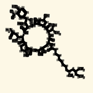 CC[C@H](C)C[C@H](C)CCCCCCCCC(=O)N[C@H]1C[C@@H](O)[C@@H](O)NC(=O)[C@@H]2[C@@H](O)CCN2C(=O)[C@H]([C@H](O)CC(N)=O)NC(=O)[C@H]([C@H](O)[C@@H](O)c2ccc(O)c([N+](=O)[O-])c2)NC(=O)[C@@H]2C[C@@H](O)CN2C(=O)[C@H]([C@@H](C)O)NC1=O